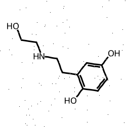 OCCNCCc1cc(O)ccc1O